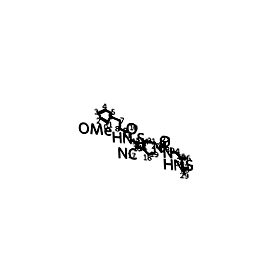 COc1ccccc1CCC(=O)Nc1sc2c(c1C#N)CCN(C(=O)NCc1csc(C)n1)C2